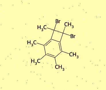 Cc1c(C)c(C)c2c(c1C)C(C)(Br)C2(C)Br